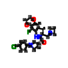 O=C(NC(Cc1cc(F)c2c(c1)OCCO2)CN1CCC1)[C@@H]1CCN(c2ccc(Cl)cc2)C1